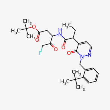 CCC(C(=O)NC(CC(=O)OC(C)(C)C)C(=O)CF)c1ccnn(Cc2ccccc2C(C)(C)C)c1=O